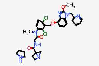 C1CCNC1.COc1nc2c(OCc3c(Cl)ccc(N(C)C(=O)CNC(=O)C45CCN4C5)c3Cl)cccc2n1Cc1ccccn1